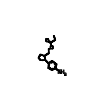 CCC(=O)OCCC1CCCC1c1ccc(N)cc1